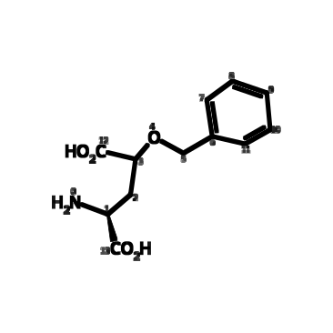 N[C@@H](CC(OCc1ccccc1)C(=O)O)C(=O)O